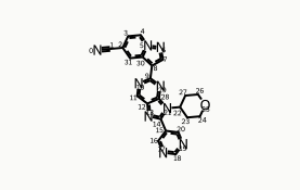 N#Cc1ccn2ncc(-c3ncc4nc(-c5cncnc5)n(C5CCOCC5)c4n3)c2c1